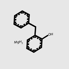 Oc1ccccc1Cc1ccccc1.[MgH2]